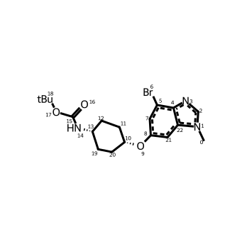 Cn1cnc2c(Br)cc(O[C@H]3CC[C@@H](NC(=O)OC(C)(C)C)CC3)cc21